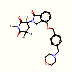 [2H]N1C(=O)C([2H])([2H])CC([2H])(N2Cc3c(OCc4ccc(CN5CCOCC5)cc4)cccc3C2=O)C1=O